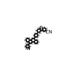 N#Cc1ccc2oc3ccc(-c4ccc(-c5cc6c7ccccc7c(-c7cccnc7)cc6c6ccccc56)cc4)cc3c2c1